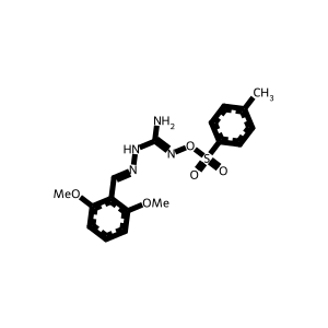 COc1cccc(OC)c1C=NNC(N)=NOS(=O)(=O)c1ccc(C)cc1